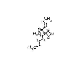 CCCCC(C)C1(C(=O)OCC)CCC1